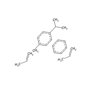 C=CC.C=CC.Cc1ccc(C(C)C)cc1.c1ccccc1